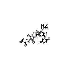 CC(C)C(=O)OCN1C(=O)C/C(=C\c2cnn3c(NC4CC4)cc(Nc4cc(Cl)ccc4F)nc23)C1=O